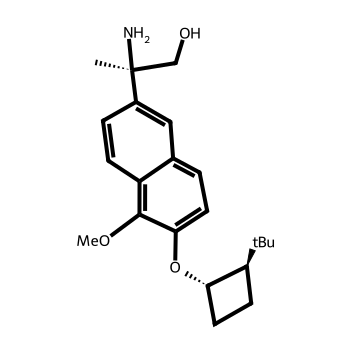 COc1c(O[C@H]2CC[C@@H]2C(C)(C)C)ccc2cc([C@@](C)(N)CO)ccc12